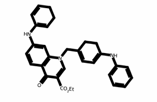 CCOC(=O)c1cn(CC2=CC=C(Nc3ccccc3)CC2)c2cc(NC3=CCCC=C3)ccc2c1=O